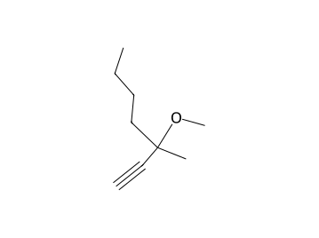 C#CC(C)(CCCC)OC